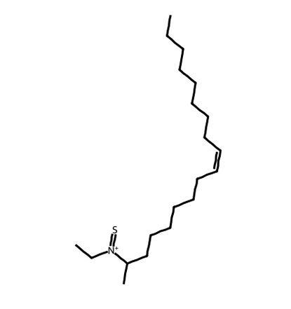 CCCCCCCC/C=C\CCCCCCC(C)[N+](=S)CC